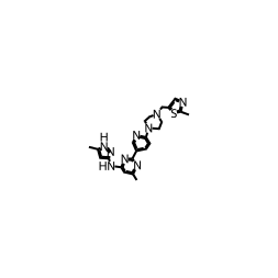 Cc1cc(Nc2cc(C)[nH]n2)nc(-c2ccc(N3CCN(Cc4cnc(C)s4)CC3)nc2)n1